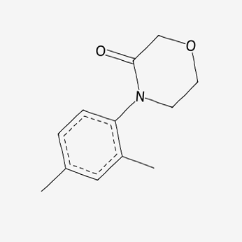 Cc1ccc(N2CCOCC2=O)c(C)c1